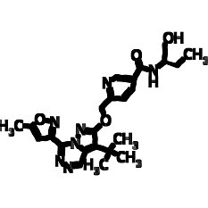 CC[C@H](CO)NC(=O)c1ccc(COc2nn3c(-c4cc(C)on4)nncc3c2C(C)(C)C)nc1